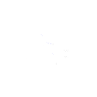 CN/C=C(/C)N(c1ccc(Br)cc1C(=N)c1ccccn1)C(C)OC